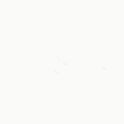 CCOC(=O)c1nc(Cc2ccc3ncc(Cl)cc3c2)nn1C